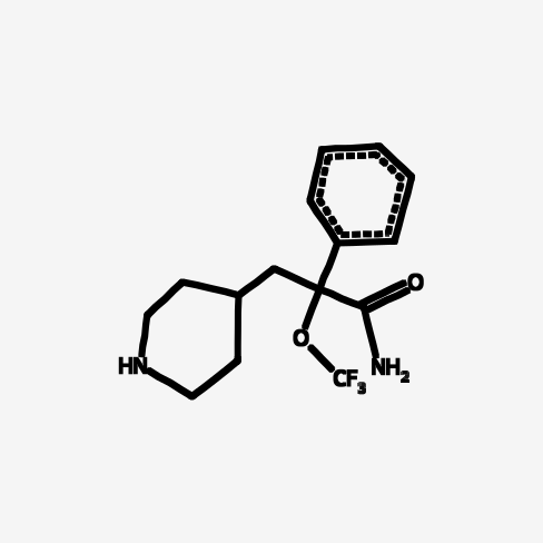 NC(=O)C(CC1CCNCC1)(OC(F)(F)F)c1ccccc1